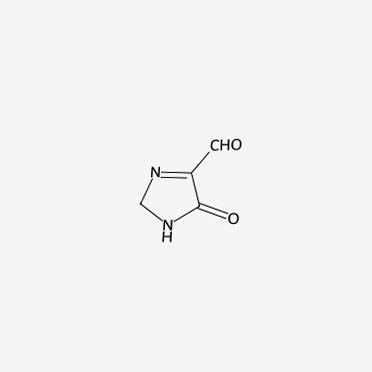 O=CC1=NCNC1=O